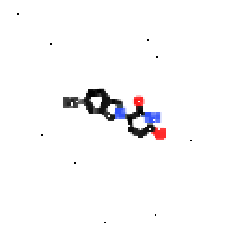 N#Cc1ccc2c(c1)CN(C1CCC(=O)NC1=O)C2